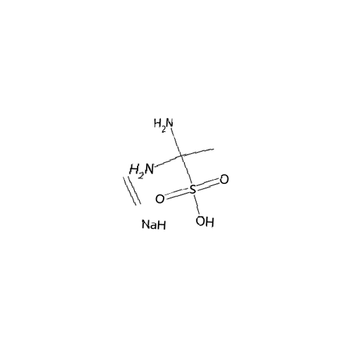 C=C.CC(N)(N)S(=O)(=O)O.[NaH]